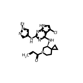 C=CC(=O)N1CCC2(CC2)[C@H](Nc2nc(Nc3cnn(CC)c3)nc3[nH]cc(Cl)c23)C1